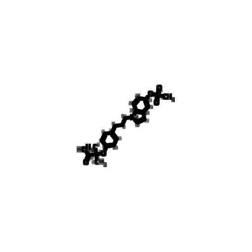 CC(C)(Oc1ccc(CCCn2ccc3cc(OS(C)(=O)=O)ccc32)cc1)C(=O)O